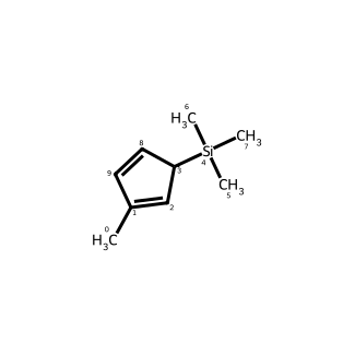 CC1=C[C]([Si](C)(C)C)C=C1